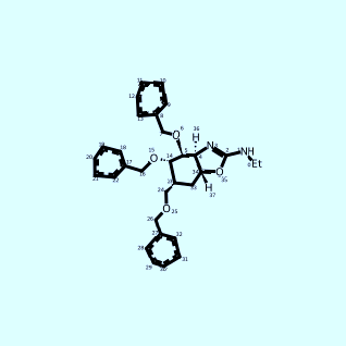 CCNC1=N[C@@H]2[C@H](OCc3ccccc3)[C@@H](OCc3ccccc3)[C@H](COCc3ccccc3)C[C@H]2O1